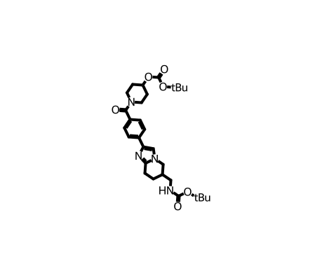 CC(C)(C)OC(=O)NCC1CCc2nc(-c3ccc(C(=O)N4CCC(OC(=O)OC(C)(C)C)CC4)cc3)cn2C1